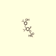 CNC(=O)COc1cc(C(C)C)c(Cc2ccc(O)c(C(C)C)c2)cc1F